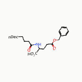 CCCCCCCCCCCCCC(=O)NC(CCC(=O)OCc1ccccc1)C(=O)O